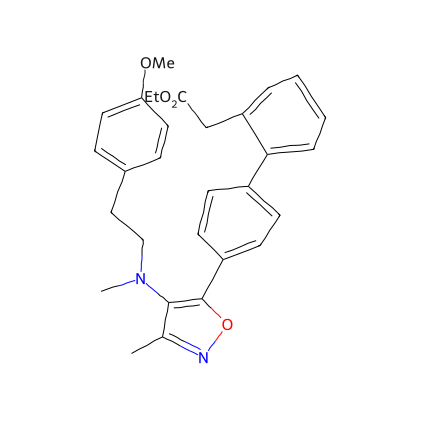 CCOC(=O)Cc1ccccc1-c1ccc(-c2onc(C)c2N(C)CCc2ccc(OC)cc2)cc1